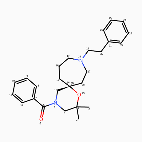 CC1(C)CN(C(=O)c2ccccc2)C[C@]2(CCCN(CCc3ccccc3)CC2)O1